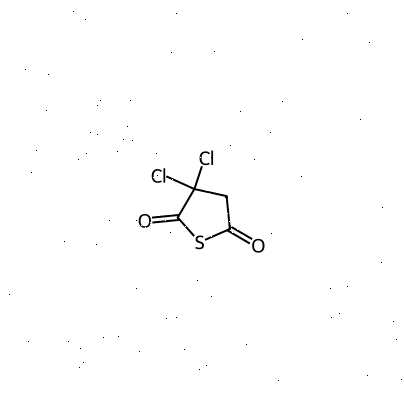 O=C1CC(Cl)(Cl)C(=O)S1